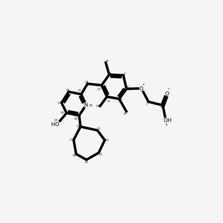 Cc1cc(OCC(=O)O)c(C)c(C)c1Cc1ccc(O)c(C2CCCCCC2)n1